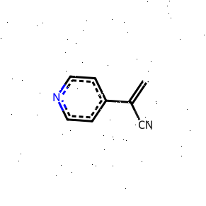 [CH]=C(C#N)c1ccncc1